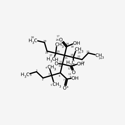 CCCC(C)(C)C(C(=O)O)C(O)(C(=O)O)C(C(=O)O)(C(C)(C)CCC)C(C)(C)CCC